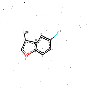 CC(C)(C)c1coc2ccc(F)cc12